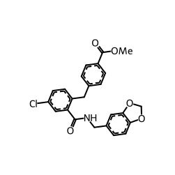 COC(=O)c1ccc(Cc2ccc(Cl)cc2C(=O)NCc2ccc3c(c2)OCO3)cc1